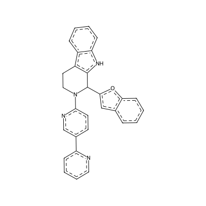 c1ccc(-c2ccc(N3CCc4c([nH]c5ccccc45)C3c3cc4ccccc4o3)nc2)nc1